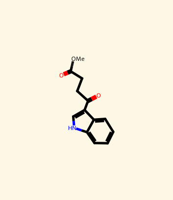 COC(=O)CCC(=O)c1c[nH]c2ccccc12